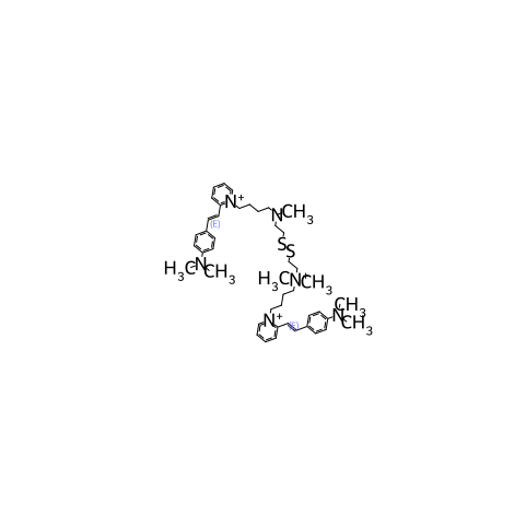 CN(CCCC[n+]1ccccc1/C=C/c1ccc(N(C)C)cc1)CCSSCC[N+](C)(C)CCCC[n+]1ccccc1/C=C/c1ccc(N(C)C)cc1